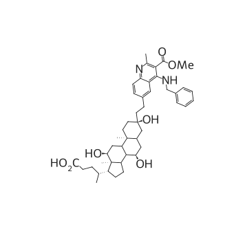 COC(=O)c1c(C)nc2ccc(CC[C@@]3(O)CC[C@@]4(C)C(C[C@@H](O)C5C4C[C@H](O)[C@@]4(C)C5CC[C@@H]4C(C)CCC(=O)O)C3)cc2c1NCc1ccccc1